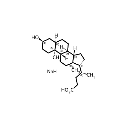 C[C@H](CCC(=O)O)[C@H]1CC[C@H]2[C@@H]3CC[C@@H]4C[C@H](O)CC[C@]4(C)[C@H]3CC[C@]12C.[NaH]